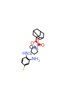 COC(=O)C12CC3CC(C1)C(OC(=O)N1CC[C@H](Nc4ccc(F)cc4N)C1)C(C3)C2